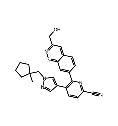 CC1(Cn2cc(-c3ccc(C#N)nc3-c3ccc4cc(CO)nnc4c3)cn2)CCCC1